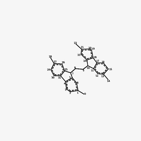 Cc1ccc2c(c1)C(CCC1c3cc(C)ccc3-c3ccc(C)cc31)c1cc(C)ccc1-2